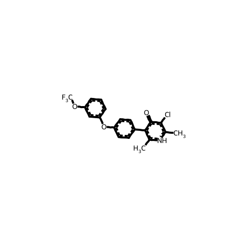 Cc1[nH]c(C)c(-c2ccc(Oc3cccc(OC(F)(F)F)c3)cc2)c(=O)c1Cl